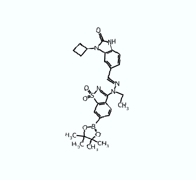 CCN(/N=C/c1ccc2[nH]c(=O)n(C3CCC3)c2c1)C1=NS(=O)(=O)c2cc(B3OC(C)(C)C(C)(C)O3)ccc21